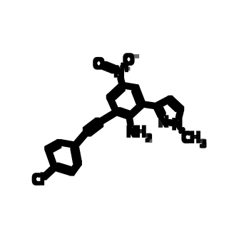 Cn1ccc(-c2cc([N+](=O)[O-])cc(C#Cc3ccc(Cl)cc3)c2N)n1